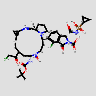 CC(C)(C)OC(=O)N[C@@H]1CC(C(=O)CCl)CCC2=C(C2)/N=C\[C@@H]2CCCN2[C@@H](c2ccc3c(c2F)C(=O)N(C(=O)[O-])[C@H]3C(=O)NS(=O)(=O)C2CC2)CC[N+]1=O